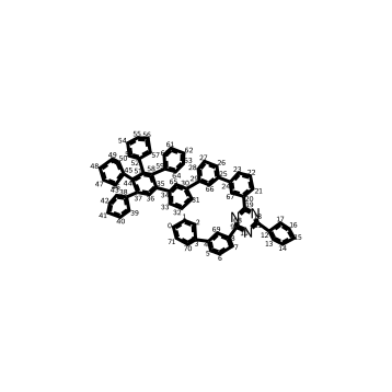 c1ccc(-c2cccc(-c3nc(-c4ccccc4)nc(-c4cccc(-c5cccc(-c6cccc(-c7cc(-c8ccccc8)c(-c8ccccc8)c(-c8ccccc8)c7-c7ccccc7)c6)c5)c4)n3)c2)cc1